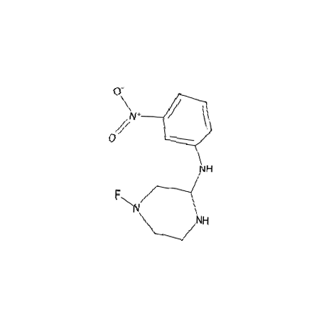 O=[N+]([O-])c1cccc(NC2CN(F)CCN2)c1